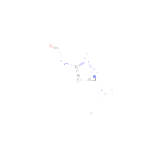 O=CNc1cc([N+](=O)[O-])[nH]n1